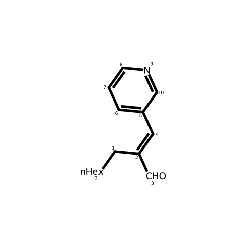 CCCCCCC/C(C=O)=C\c1cccnc1